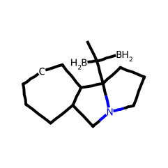 BC(B)(C)C12CCCN1CC1CCCCCC12